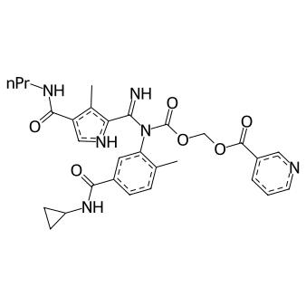 CCCNC(=O)c1c[nH]c(C(=N)N(C(=O)OCOC(=O)c2cccnc2)c2cc(C(=O)NC3CC3)ccc2C)c1C